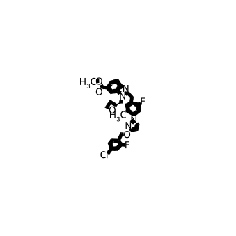 COC(=O)c1ccc2nc(Cc3cc(C)c(-n4ccc(OCc5ccc(Cl)cc5F)n4)cc3F)n(C[C@@H]3CCO3)c2c1